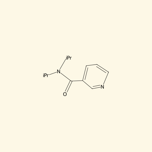 CC(C)N(C(=O)c1cccnc1)C(C)C